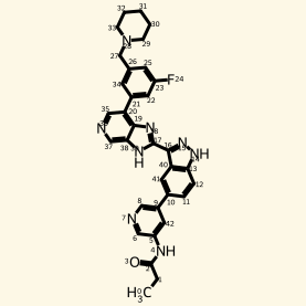 CCC(=O)Nc1cncc(-c2ccc3[nH]nc(-c4nc5c(-c6cc(F)cc(CN7CCCCC7)c6)cncc5[nH]4)c3c2)c1